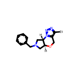 CCc1nnn2c1CO[C@H]1CN(Cc3ccccc3)C[C@@H]12